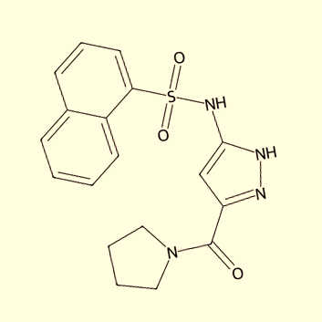 O=C(c1cc(NS(=O)(=O)c2cccc3ccccc23)[nH]n1)N1CCCC1